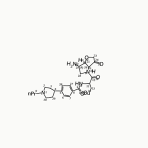 CCCN1CCC(c2ccc(C(=O)NC(CC(C)(C)C)C(=O)N3C[C@@H](N)[C@H]4OCC(=O)[C@H]43)cc2)CC1